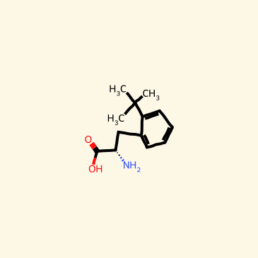 CC(C)(C)c1ccccc1C[C@H](N)C(=O)O